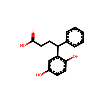 O=C(O)CCC(c1ccccc1)c1cc(O)ccc1O